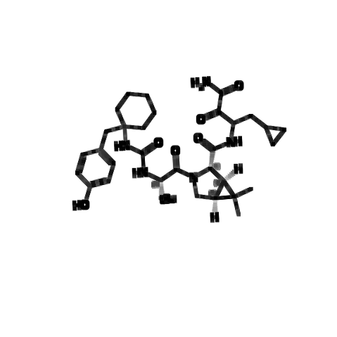 CC(C)(C)[C@H](NC(=O)NC1(Cc2ccc(O)cc2)CCCCC1)C(=O)N1C[C@H]2[C@@H]([C@H]1C(=O)NC(CC1CC1)C(=O)C(N)=O)C2(C)C